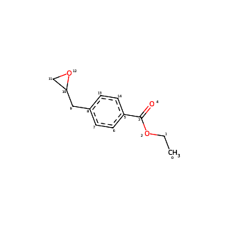 CCOC(=O)c1ccc(CC2CO2)cc1